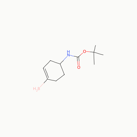 BC1=CCC(NC(=O)OC(C)(C)C)CC1